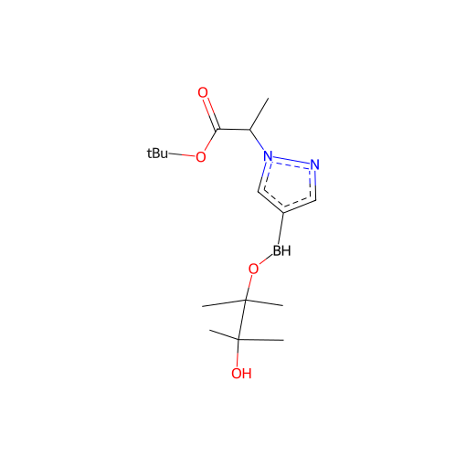 CC(C(=O)OC(C)(C)C)n1cc(BOC(C)(C)C(C)(C)O)cn1